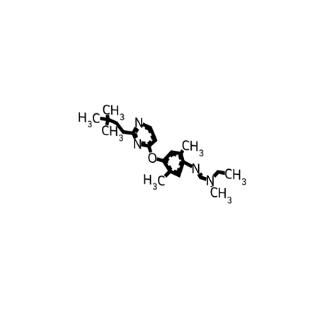 CCN(C)/C=N/c1cc(C)c(Oc2ccnc(CCC(C)(C)C)n2)cc1C